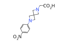 O=C(O)CN1CC2(C1)CN(c1ccc([N+](=O)[O-])cc1)C2